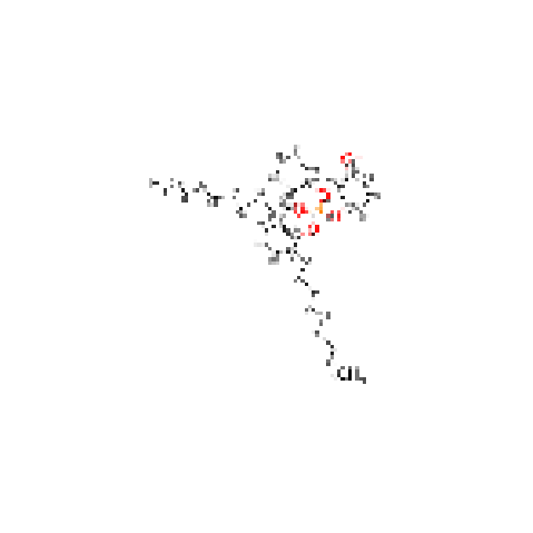 CCCCCCCCCc1ccccc1OP(=O)(Oc1cccc(O)c1)Oc1ccccc1CCCCCCCCC